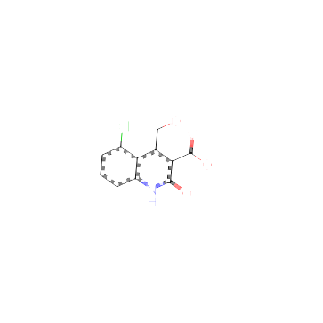 O=C(O)c1c(CO)c2c(Cl)cccc2[nH]c1=O